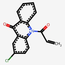 C=CC(=O)n1c2ccccc2c(=O)c2cc(Cl)ccc21